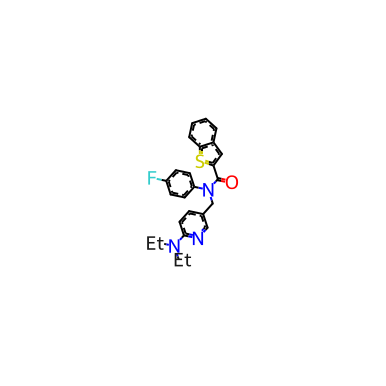 CCN(CC)c1ccc(CN(C(=O)c2cc3ccccc3s2)c2ccc(F)cc2)cn1